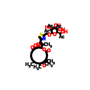 CC(=O)C(O)[C@H]1O[C@@H](OCc2nc(C=C(C)C3OC(=O)CCC(C)(C)C(=O)C(C)CC(C)CCCC4OC4(O)C3O)cs2)[C@@](O)(C(C)=O)[C@](O)(C(C)=O)[C@@]1(O)C(C)=O